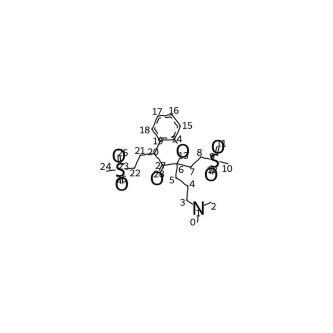 CN(C)CCCC1(CCS(C)(=O)=O)Oc2ccccc2C(CCS(C)(=O)=O)C1=O